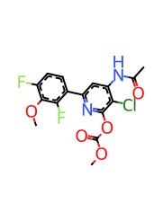 COC(=O)Oc1nc(-c2ccc(F)c(OC)c2F)cc(NC(C)=O)c1Cl